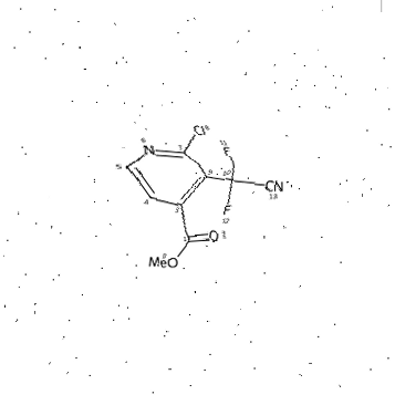 COC(=O)c1ccnc(Cl)c1C(F)(F)C#N